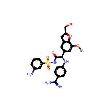 CCOc1cc([C@@H](Nc2ccc(C(=N)N)cc2)C(=O)NS(=O)(=O)c2cccc(N)c2)cc2cc(CO)oc12